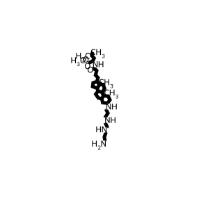 COC(=O)C(CC(C)C)NC(=O)CCCC1CCC2C3CCC4CC(NCCCNCCNCCCN)CCC4(C)C3CCC12C